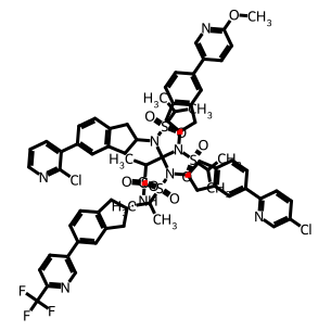 COc1ccc(-c2ccc3c(c2)CC(N(C(C(C)S(=O)(=O)N[C@H]2Cc4ccc(-c5ccc(C(F)(F)F)nc5)cc4C2)(N(C2Cc4ccc(-c5ccc(Cl)cn5)cc4C2)S(=O)(=O)C(C)C)N(C2Cc4ccc(-c5cccnc5Cl)cc4C2)S(=O)(=O)C(C)C)S(=O)(=O)C(C)C)C3)cn1